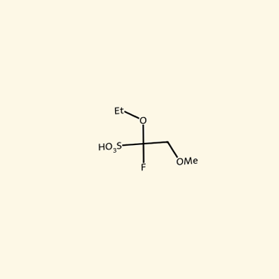 CCOC(F)(COC)S(=O)(=O)O